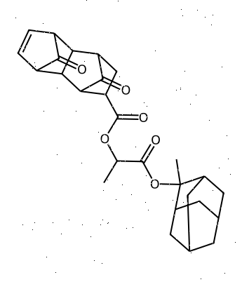 CC(OC(=O)C1CC2C(=O)C1C1C3C=CC(C3=O)C21)C(=O)OC1(C)C2CC3CC(C2)CC1C3